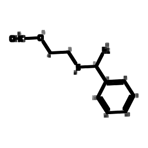 CCC(SCCOC=O)c1ccccc1